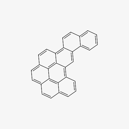 c1ccc2c(c1)ccc1c2cc2c3cccc4ccc5ccc6ccc1c2c6c5c43